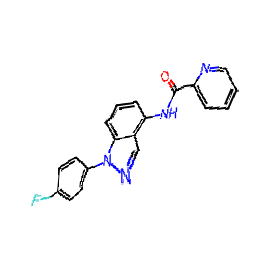 O=C(Nc1cccc2c1cnn2-c1ccc(F)cc1)c1ccccn1